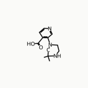 CC1(C)CN(c2cnccc2C(=O)O)CCN1